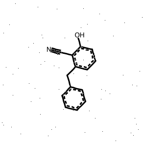 N#Cc1c(O)cccc1Cc1ccccc1